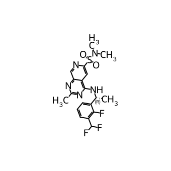 Cc1nc(N[C@H](C)c2cccc(C(F)F)c2F)c2cc(S(=O)(=O)N(C)C)ncc2n1